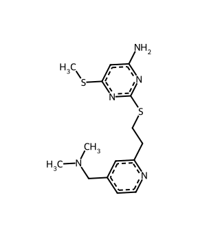 CSc1cc(N)nc(SCCc2cc(CN(C)C)ccn2)n1